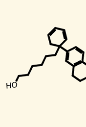 OCCCCCCC1(c2ccc3c(c2)CCCC3)C=CC=CC1